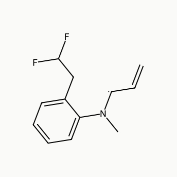 C=C[CH]N(C)c1ccccc1CC(F)F